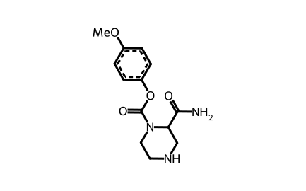 COc1ccc(OC(=O)N2CCNCC2C(N)=O)cc1